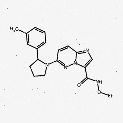 CCONC(=O)c1cnc2ccc(N3CCCC3c3cccc(C)c3)nn12